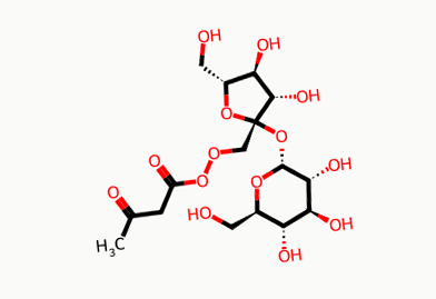 CC(=O)CC(=O)OOC[C@@]1(O[C@H]2O[C@H](CO)[C@@H](O)[C@H](O)[C@H]2O)O[C@H](CO)[C@@H](O)[C@@H]1O